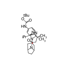 Cc1nnc(C(C)C)n1C1CC2CCC(C1)N2C(=O)C[C@H](C)c1ccc(NC(=O)OC(C)(C)C)cc1